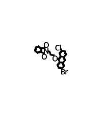 O=C1c2ccccc2C(=O)N1CCCOc1c2ccc(Br)cc2cc2ccc(Cl)cc12